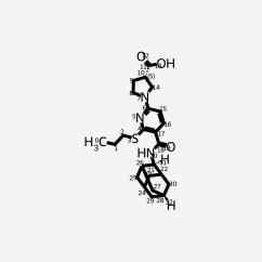 CCCSc1nc(N2CC[C@H](C(=O)O)C2)ccc1C(=O)N[C@H]1C2CC3CC1C[C@@H](C3)C2